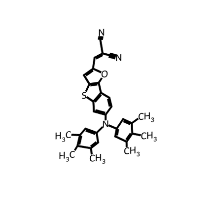 Cc1cc(N(c2cc(C)c(C)c(C)c2)c2ccc3c(c2)sc2cc(C=C(C#N)C#N)oc23)cc(C)c1C